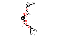 CCCCC(CC)COCCOC(C)OC(=O)c1cccc(C(=O)OC(C)OCCOCC(CC)CCCC)c1